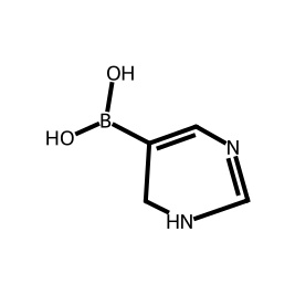 OB(O)C1=CN=CNC1